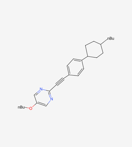 CCCCOc1cnc(C#Cc2ccc(C3CCC(CCCC)CC3)cc2)nc1